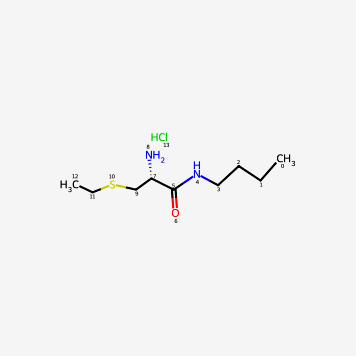 CCCCNC(=O)[C@@H](N)CSCC.Cl